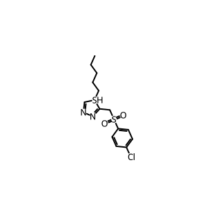 CCCCC[SH]1C=NN=C1CS(=O)(=O)c1ccc(Cl)cc1